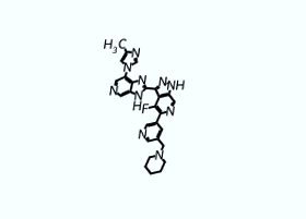 Cc1cn(-c2cncc3[nH]c(-c4n[nH]c5cnc(-c6cncc(CN7CCCCC7)c6)c(F)c45)nc23)cn1